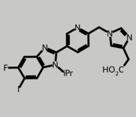 CC(C)n1c(-c2ccc(Cn3cnc(CC(=O)O)c3)nc2)nc2cc(F)c(I)cc21